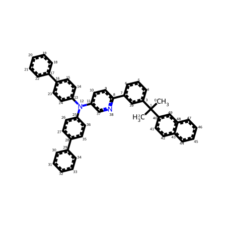 CC(C)(c1cccc(-c2ccc(N(c3ccc(-c4ccccc4)cc3)c3ccc(-c4ccccc4)cc3)cn2)c1)c1ccc2ccccc2c1